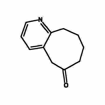 O=C1CCCCc2ncccc2C1